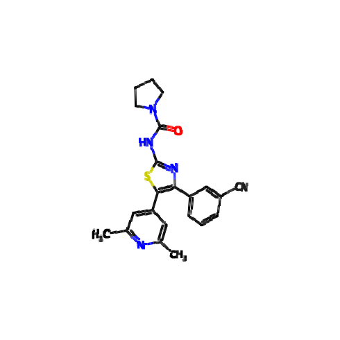 Cc1cc(-c2sc(NC(=O)N3CCCC3)nc2-c2cccc(C#N)c2)cc(C)n1